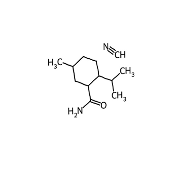 C#N.CC1CCC(C(C)C)C(C(N)=O)C1